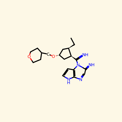 CC[C@@H]1C[C@@H](OCC2CCOCC2)C[C@@H]1C(=N)n1c(=N)cnc2[nH]ccc21